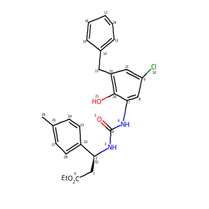 CCOC(=O)C[C@H](NC(=O)Nc1cc(Cl)cc(Cc2ccccc2)c1O)c1ccc(C)cc1